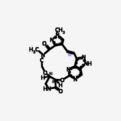 CN1CCO[C@H]2CNC(=O)[C@H]2Oc2ncc3[nH]nc(c3n2)/C=C/c2cn(C)nc2C1=O